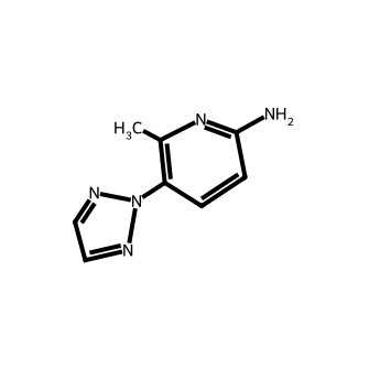 Cc1nc(N)ccc1-n1nccn1